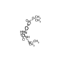 CCCN(C)CCCNc1c(Cl)cnc2[nH]c(-c3ccc(N4CCN(CCOC(C)C)C(=O)C4)cc3)nc12